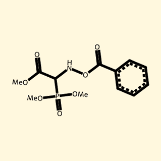 COC(=O)C(NOC(=O)c1ccccc1)P(=O)(OC)OC